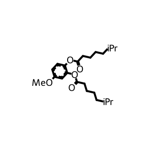 COc1ccc(OC(=O)CCCCC(C)C)c(OC(=O)CCCCC(C)C)c1